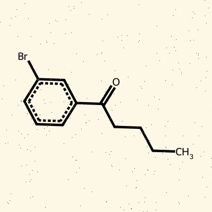 CCCCC(=O)c1cc[c]c(Br)c1